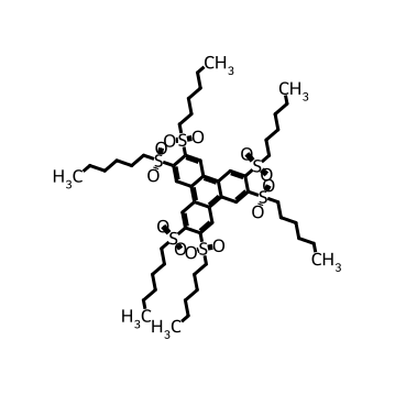 CCCCCCS(=O)(=O)c1cc2c3cc(S(=O)(=O)CCCCCC)c(S(=O)(=O)CCCCCC)cc3c3cc(S(=O)(=O)CCCCCC)c(S(=O)(=O)CCCCCC)cc3c2cc1S(=O)(=O)CCCCCC